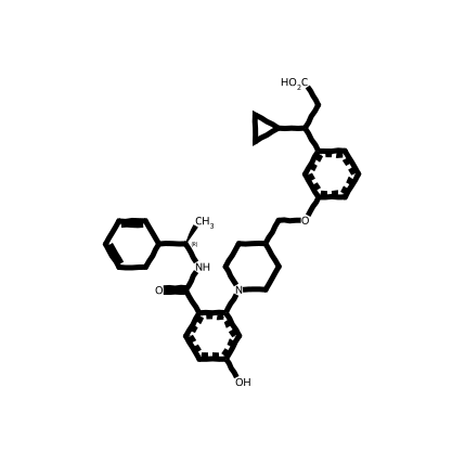 C[C@@H](NC(=O)c1ccc(O)cc1N1CCC(COc2cccc(C(CC(=O)O)C3CC3)c2)CC1)C1C=CC=CC1